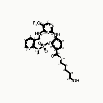 CN(c1ncccc1CNc1nc(Nc2ccc(C(=O)NCCCCCO)cc2)ncc1C(F)(F)F)S(C)(=O)=O